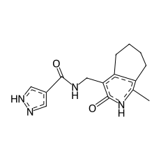 Cc1[nH]c(=O)c(CNC(=O)c2cn[nH]c2)c2c1CCCC2